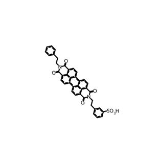 O=C1c2ccc3c4ccc5c6c(ccc(c7ccc(c2c37)C(=O)N1CCc1ccccc1)c64)C(=O)N(CCc1cccc(S(=O)(=O)O)c1)C5=O